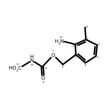 Cc1cccc(COC(=O)NC(=O)O)c1N